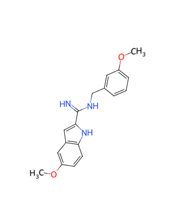 COc1cccc(CNC(=N)c2cc3cc(OC)ccc3[nH]2)c1